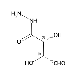 NNC(=O)[C@H](O)[C@@H](O)C=O